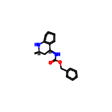 C[C@@H]1C[C@H](NC(=O)OCc2ccccc2)c2ccccc2N1